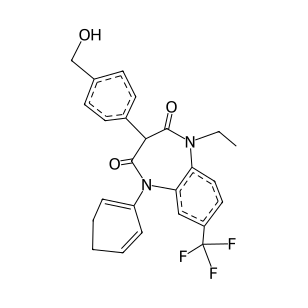 CCN1C(=O)C(c2ccc(CO)cc2)C(=O)N(C2=CCCC=C2)c2cc(C(F)(F)F)ccc21